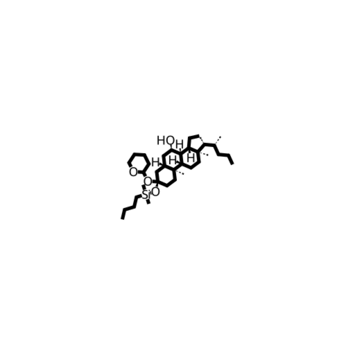 CCCC[Si](C)(C)O[C@]1(OC2CCCCO2)CC[C@@]2(C)[C@@H](C[C@H](O)[C@@H]3[C@@H]2CC[C@]2(C)[C@@H]([C@H](C)CCC)CC[C@@H]32)C1